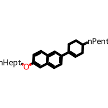 CCCCCCCOc1ccc2cc(C3=CCC(CCCCC)CC3)ccc2c1